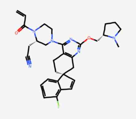 C=CC(=O)N1CCN(c2nc(OC[C@@H]3CCCN3C)nc3c2CC[C@@]2(C=Cc4c(F)cccc42)C3)C[C@@H]1CC#N